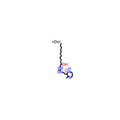 CCCCCCCCCCCCCCCCCCCCC(O)CNC(C)NCCC1C(=O)NCCC/N=C\1C